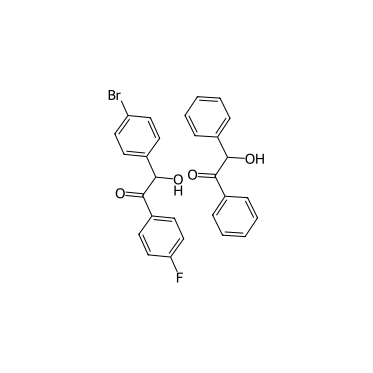 O=C(c1ccc(F)cc1)C(O)c1ccc(Br)cc1.O=C(c1ccccc1)C(O)c1ccccc1